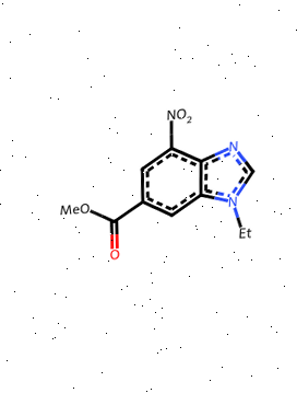 CCn1cnc2c([N+](=O)[O-])cc(C(=O)OC)cc21